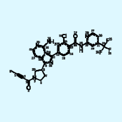 CC#CC(=O)N1CCC(c2nc(-c3ccc(C(=O)Nc4cc(C(F)(F)F)ccn4)c(Cl)c3)n3c(N)nccc23)C1